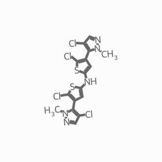 Cn1ncc(Cl)c1-c1cc(Nc2cc(-c3c(Cl)cnn3C)c(Cl)s2)sc1Cl